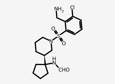 NCc1c(Cl)cccc1S(=O)(=O)N1CCC[C@H](C2(NC=O)CCCC2)C1